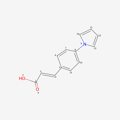 O=C(O)/C=C/c1ccc(-n2cccc2)cc1